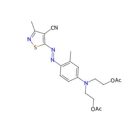 CC(=O)OCCN(CCOC(C)=O)c1ccc(N=Nc2snc(C)c2C#N)c(C)c1